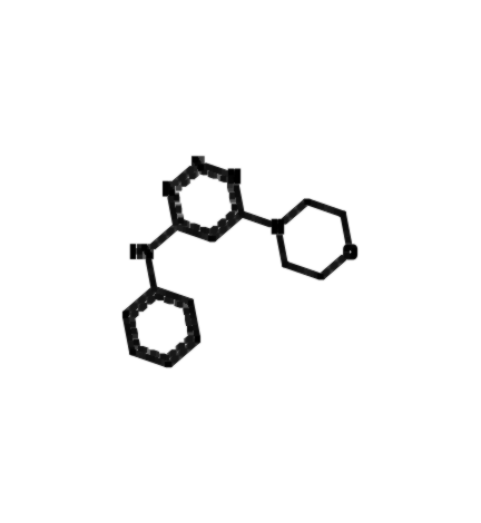 c1ccc(Nc2cc(N3CCOCC3)nnn2)cc1